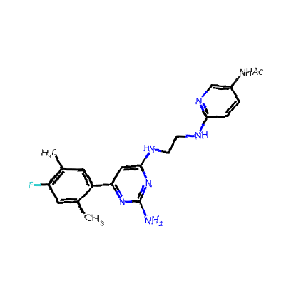 CC(=O)Nc1ccc(NCCNc2cc(-c3cc(C)c(F)cc3C)nc(N)n2)nc1